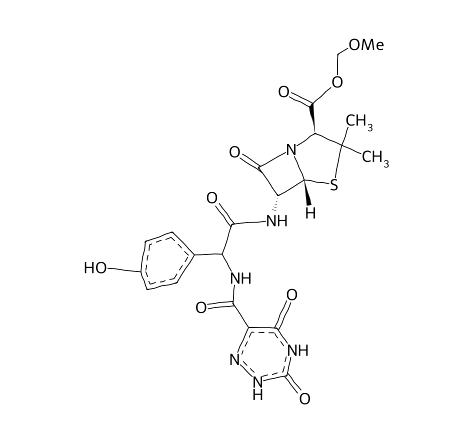 COCOC(=O)[C@@H]1N2C(=O)[C@@H](NC(=O)C(NC(=O)c3n[nH]c(=O)[nH]c3=O)c3ccc(O)cc3)[C@H]2SC1(C)C